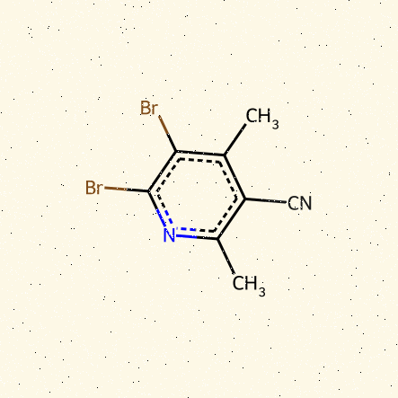 Cc1nc(Br)c(Br)c(C)c1C#N